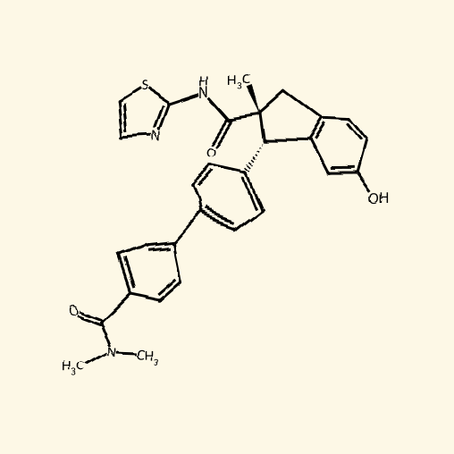 CN(C)C(=O)c1ccc(-c2ccc([C@H]3c4cc(O)ccc4C[C@@]3(C)C(=O)Nc3nccs3)cc2)cc1